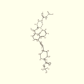 CC(C)OC(=O)C1CCN(C(C)c2ccc(C#CC3CCN(C(=O)OC(C)(C)C)CC3)c3ccccc23)CC1